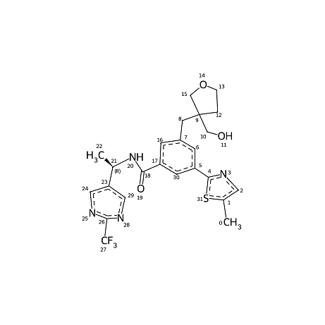 Cc1cnc(-c2cc(CC3(CO)CCOC3)cc(C(=O)N[C@H](C)c3cnc(C(F)(F)F)nc3)c2)s1